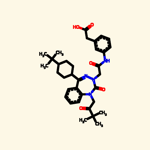 CC(C)(C)C(=O)CN1C(=O)N(CC(=O)Nc2cccc(CC(=O)O)c2)N=C(C2CCC(C(C)(C)C)CC2)c2ccccc21